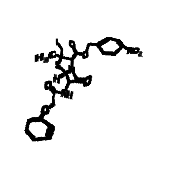 CC1(CI)S[C@H]2C(NC(=O)COc3ccccc3)C(=O)N2C1C(=O)OCc1ccc([N+](=O)[O-])cc1